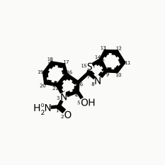 NC(=O)n1c(O)c(-c2nc3ccccc3s2)c2c[c]ccc21